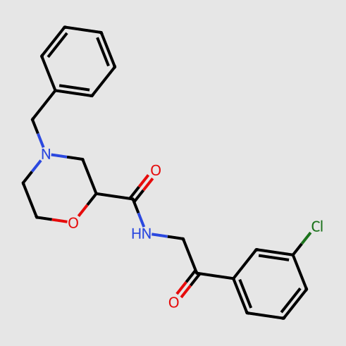 O=C(CNC(=O)C1CN(Cc2ccccc2)CCO1)c1cccc(Cl)c1